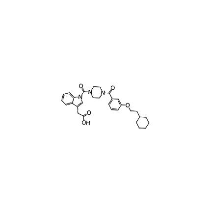 O=C(O)Cc1cn(C(=O)N2CCN(C(=O)c3cccc(OCCC4CCCCC4)c3)CC2)c2ccccc12